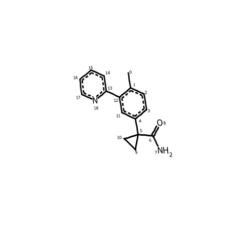 Cc1ccc(C2(C(N)=O)CC2)cc1-c1ccccn1